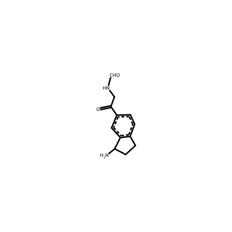 NC1CCc2ccc(C(=O)CNC=O)cc21